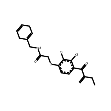 C=C(CC)C(=O)c1ccc(OCC(=O)NCC2=CCC=CC2)c(Cl)c1Cl